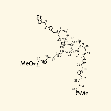 CCOCCOCc1ccc(C)c(-c2cc(OCCCOCCOC)cc(-c3cc(OCCOCCCCOC)ccc3C)c2C)c1